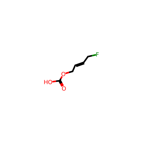 O=C(O)OCC=CCF